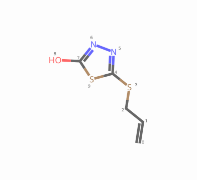 C=CCSc1nnc(O)s1